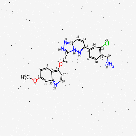 COc1ccc2c(OCc3nnc4ccc(-c5ccc(CN)c(Cl)c5)nn34)ccnc2c1